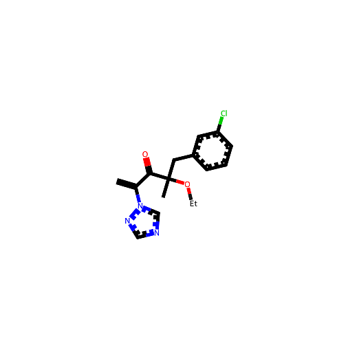 C=C(C(=O)C(C)(Cc1cccc(Cl)c1)OCC)n1cncn1